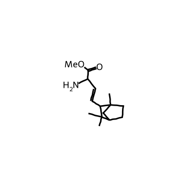 COC(=O)C(N)C=CC1C2(C)CCC(C2)C1(C)C